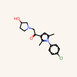 Cc1cc(C(=O)CN2CCC(O)C2)c(C)n1-c1ccc(Cl)cc1